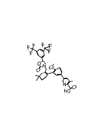 COc1ccc(-c2cnc(C(=O)O)c(C)c2)cc1C1=C(CN2C(=O)OC(c3cc(C(F)(F)F)cc(C(F)(F)F)c3)[C@@H]2C)CC(C)(C)CC1